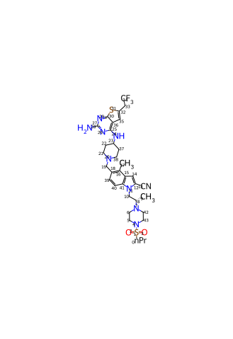 CCCS(=O)(=O)N1CCN([C@@H](C)Cn2c(C#N)cc3c(C)c(CN4CCC(Nc5nc(N)nc6sc(CC(F)(F)F)cc56)CC4)ccc32)CC1